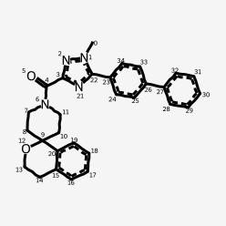 Cn1nc(C(=O)N2CCC3(CC2)OCCc2ccccc23)nc1-c1ccc(-c2ccccc2)cc1